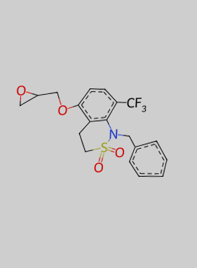 O=S1(=O)CCc2c(OCC3CO3)ccc(C(F)(F)F)c2N1Cc1ccccc1